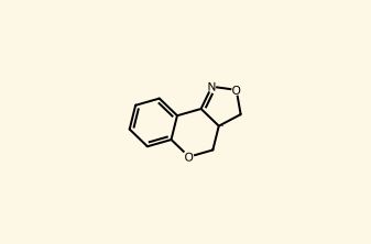 c1ccc2c(c1)OC[C]1CON=C12